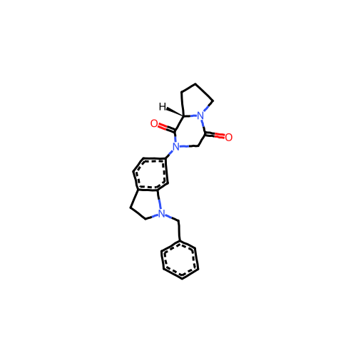 O=C1[C@@H]2CCCN2C(=O)CN1c1ccc2c(c1)N(Cc1ccccc1)CC2